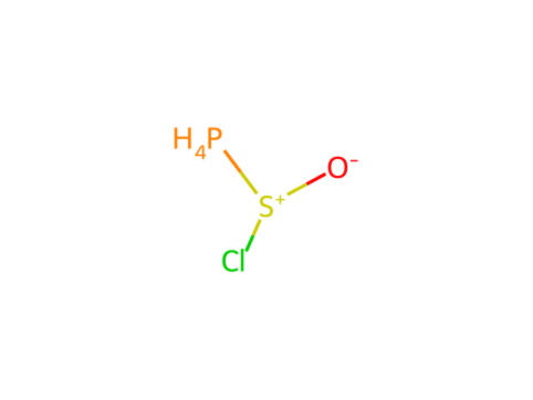 [O-][S+]([PH4])Cl